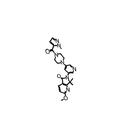 COc1ccc2c(n1)C(C)(C)N(c1cncc(N3CCN(C(=O)c4ccnn4C)CC3)c1)C2=O